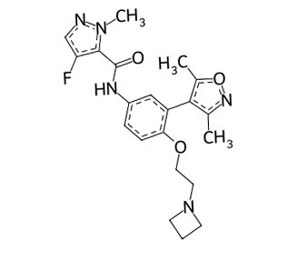 Cc1noc(C)c1-c1cc(NC(=O)c2c(F)cnn2C)ccc1OCCN1CCC1